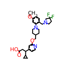 COc1ccc(CN2CCC(F)(F)C2)c(N2CCC(COc3cc(C(CC(=O)O)C4CC4)ccn3)CC2)c1